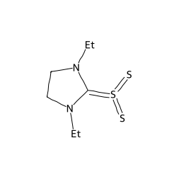 CCN1CCN(CC)C1=S(=S)=S